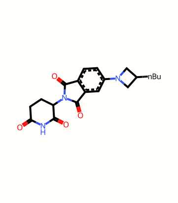 CCCCC1CN(c2ccc3c(c2)C(=O)N(C2CCC(=O)NC2=O)C3=O)C1